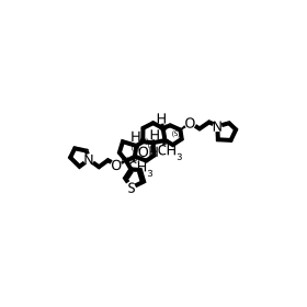 C[C@]12CC[C@H](OCCN3CCCC3)C[C@H]1CC[C@@H]1[C@@H]2CC[C@]2(C)[C@](OCCN3CCCC3)(c3ccsc3)CC[C@]12O